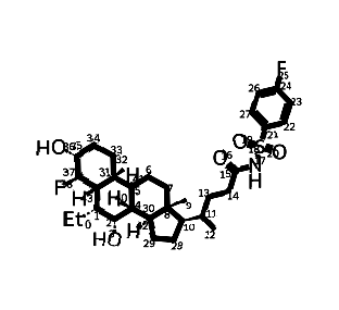 CC[C@H]1[C@@H](O)[C@@H]2[C@H](CC[C@]3(C)[C@@H](C(C)CCC(=O)NS(=O)(=O)c4ccc(F)cc4)CC[C@@H]23)[C@@]2(C)CC[C@@H](O)[C@H](F)[C@@H]12